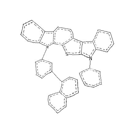 c1ccc(-n2c3ccccc3c3c4ccc5c6ccccc6n(-c6cccc(-c7cccc8ccccc78)c6)c5c4sc32)cc1